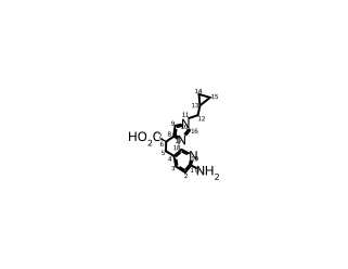 Nc1ccc(C[C@@H](C(=O)O)c2cn(CCC3CC3)cn2)cn1